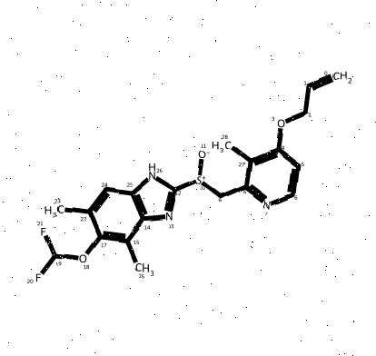 C=CCOc1ccnc(C[S+]([O-])c2nc3c(C)c(OC(F)F)c(C)cc3[nH]2)c1C